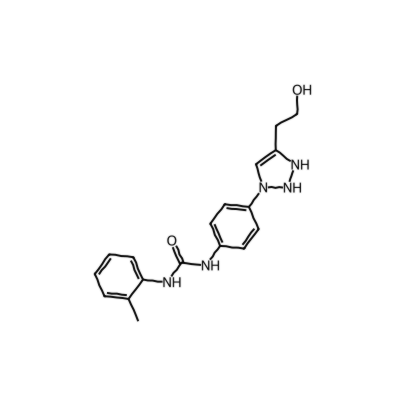 Cc1ccccc1NC(=O)Nc1ccc(N2C=C(CCO)NN2)cc1